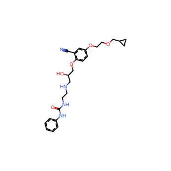 N#Cc1cc(OCCOCC2CC2)ccc1OCC(O)CNCCNC(=O)Nc1ccccc1